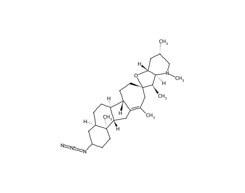 CC1=C2C[C@H]3[C@@H](CC[C@@H]4CC(N=[N+]=[N-])CC[C@@]43C)[C@@H]2CC[C@@]2(C1)O[C@@H]1C[C@H](C)CN(C)[C@H]1[C@H]2C